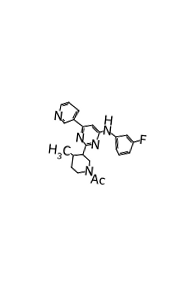 CC(=O)N1CCC(C)C(c2nc(Nc3cccc(F)c3)cc(-c3cccnc3)n2)C1